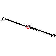 CCCCCCCCCCCCCCCCCCOCCCCCCCCCCCCCCCCCC.[Si]